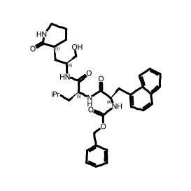 CC(C)C[C@H](NC(=O)[C@@H](Cc1cccc2ccccc12)NC(=O)OCc1ccccc1)C(=O)N[C@H](CO)C[C@@H]1CCCNC1=O